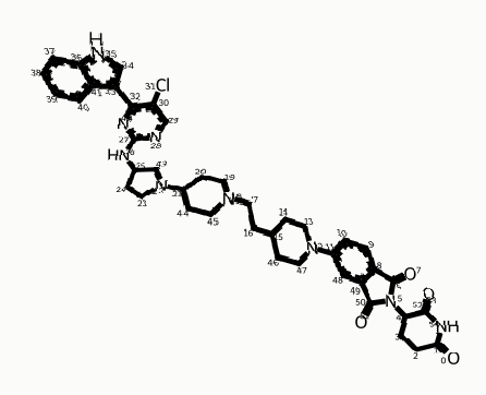 O=C1CCC(N2C(=O)c3ccc(N4CCC(CCN5CCC(N6CCC(Nc7ncc(Cl)c(-c8c[nH]c9ccccc89)n7)C6)CC5)CC4)cc3C2=O)C(=O)N1